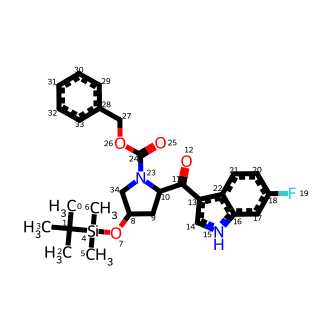 CC(C)(C)[Si](C)(C)OC1CC(C(=O)c2c[nH]c3cc(F)ccc23)N(C(=O)OCc2ccccc2)C1